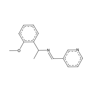 COc1ccccc1C(C)/N=C/c1cccnc1